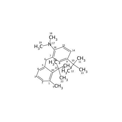 Cc1cccc(Cc2cc(C(C)(C)C)ccc2N(C)C)c1C(C)(C)C